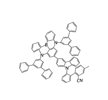 Cc1ccc(-c2ccccc2-n2c3ccccc3c3cc(-c4cc5c6c(c4)N(c4cc(-c7ccccc7)cc(-c7ccccc7)c4)c4ccccc4B6c4ccccc4N5c4cc(-c5ccccc5)cc(-c5ccccc5)c4)ccc32)c(C#N)c1